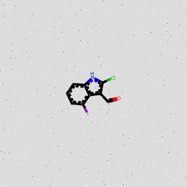 O=Cc1c(Cl)[nH]c2cccc(I)c12